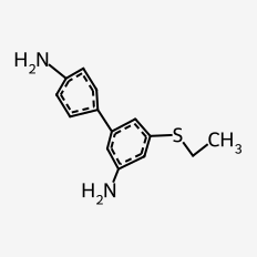 CCSc1cc(N)cc(-c2ccc(N)cc2)c1